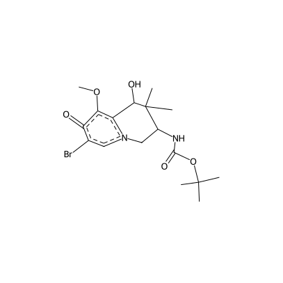 COc1c2n(cc(Br)c1=O)CC(NC(=O)OC(C)(C)C)C(C)(C)C2O